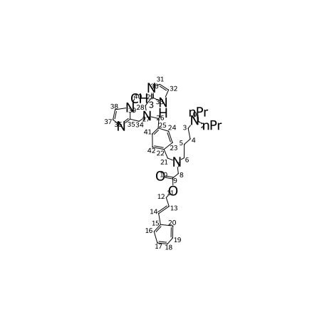 CCCN(CCC)CCCCN(CC(=O)OCC=Cc1ccccc1)Cc1ccc(CN(Cc2ncc[nH]2)Cc2nccn2C)cc1